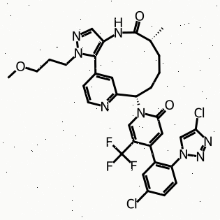 COCCCn1ncc2c1-c1ccnc(c1)[C@@H](n1cc(C(F)(F)F)c(-c3cc(Cl)ccc3-n3cc(Cl)nn3)cc1=O)CCC[C@@H](C)C(=O)N2